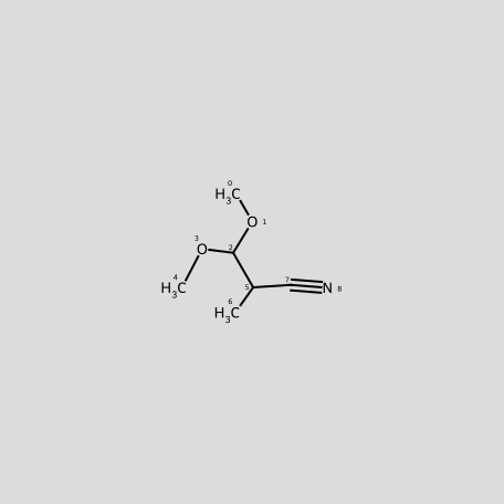 COC(OC)C(C)C#N